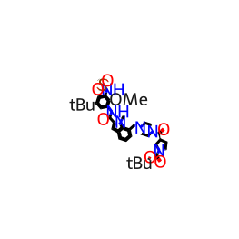 COc1c(NC(=O)c2cc3cccc(CN4CCN(C(=O)[C@H]5CCN(C(=O)OC(C)(C)C)C5)CC4)c3n2C)cc(C(C)(C)C)cc1NS(C)(=O)=O